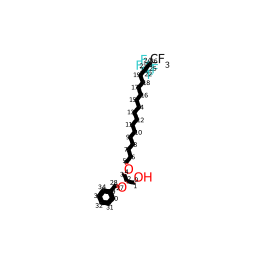 OCC(COCCCCCCCCCCCCCCCC(F)(F)C(F)(F)C(F)(F)F)OCc1ccccc1